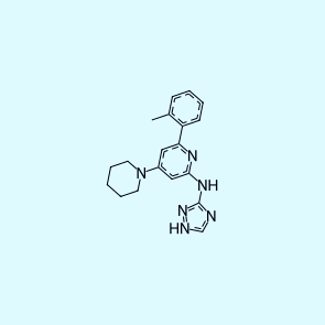 Cc1ccccc1-c1cc(N2CCCCC2)cc(Nc2nc[nH]n2)n1